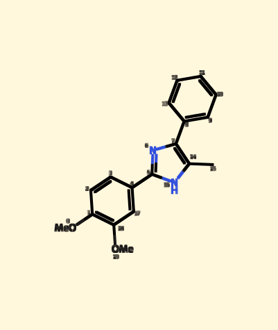 COc1ccc(-c2nc(-c3ccccc3)c(C)[nH]2)cc1OC